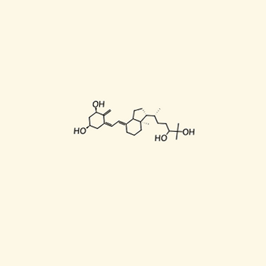 C=C1/C(=C\C=C2CCC[C@@]3(C)C2CC[C@@H]3[C@H](C)CCC(O)C(C)(C)O)C[C@@H](O)C[C@H]1O